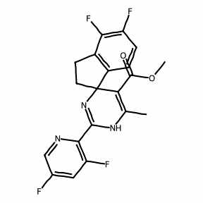 COC(=O)C1=C(C)NC(c2ncc(F)cc2F)=NC12CCc1c2ccc(F)c1F